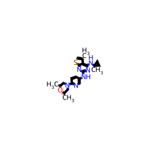 Cc1csc2nc(Nc3ccc(N4C[C@@H](C)O[C@@H](C)C4)nc3)nc(NC3(C)CC3)c12